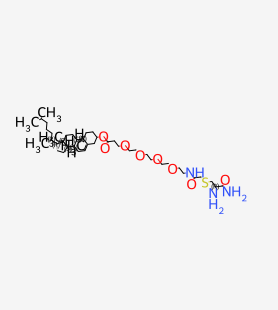 CC(C)CCC[C@@H](C)[C@H]1CC[C@H]2[C@@H]3CC=C4CC(OC(=O)CCOCCOCCOCCOCCNC(=O)CSC[C@H](N)C(N)=O)CC[C@]4(C)[C@H]3CC[C@]12C